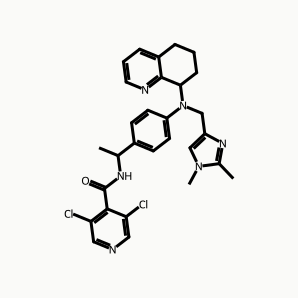 Cc1nc(CN(c2ccc(C(C)NC(=O)c3c(Cl)cncc3Cl)cc2)C2CCCc3cccnc32)cn1C